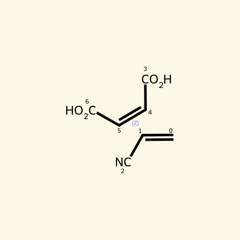 C=CC#N.O=C(O)/C=C\C(=O)O